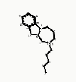 CCCCCN1CCCN2c3ccccc3CC2C1